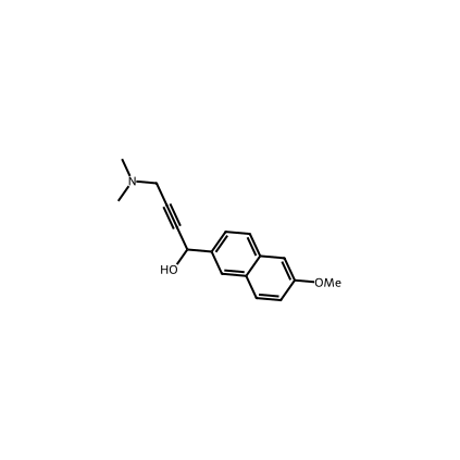 COc1ccc2cc(C(O)C#CCN(C)C)ccc2c1